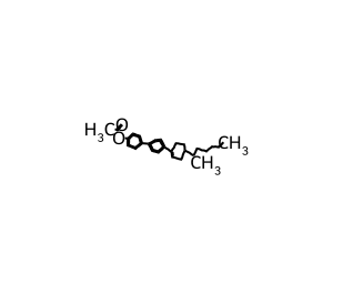 CCCCCC(C)C1CC=C(c2ccc(-c3ccc(OC(C)=O)cc3)cc2)CC1